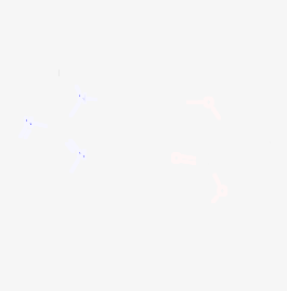 COC(=O)C(C)Oc1ccc(N(C)c2ncc(I)cn2)cc1